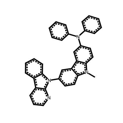 Cn1c2ccc(N(c3ccccc3)c3ccccc3)cc2c2cc(-n3c4ccccc4c4cccnc43)ccc21